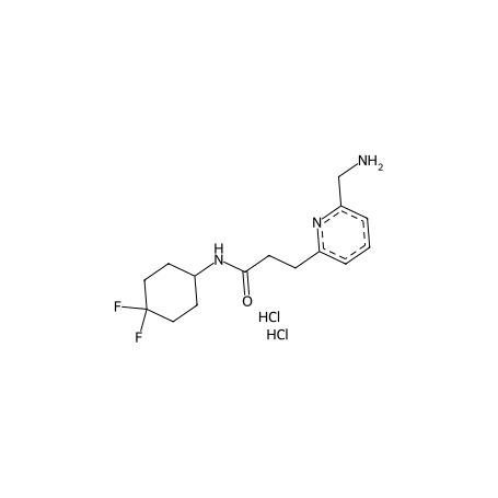 Cl.Cl.NCc1cccc(CCC(=O)NC2CCC(F)(F)CC2)n1